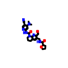 CN(C)c1cc(NC(=O)N2CCCc3cc(CNC(=O)C4CCCO4)c(C=O)nc32)ncc1C#N